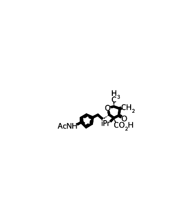 C=C1C(=O)[C@@](C(=O)O)(C(C)C)[C@H](CCc2ccc(NC(C)=O)cc2)O[C@@H]1C